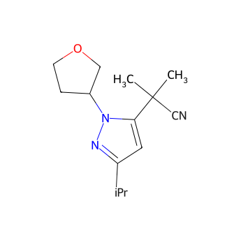 CC(C)c1cc(C(C)(C)C#N)n(C2CCOC2)n1